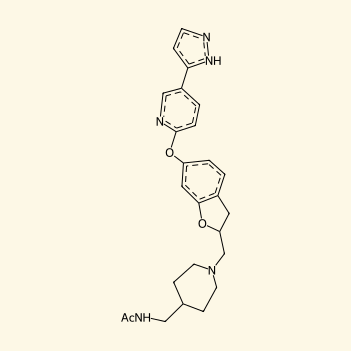 CC(=O)NCC1CCN(CC2Cc3ccc(Oc4ccc(-c5ccn[nH]5)cn4)cc3O2)CC1